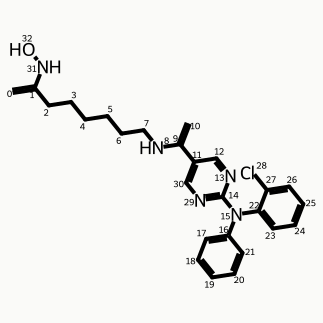 C=C(CCCCCCNC(=C)c1cnc(N(c2ccccc2)c2ccccc2Cl)nc1)NO